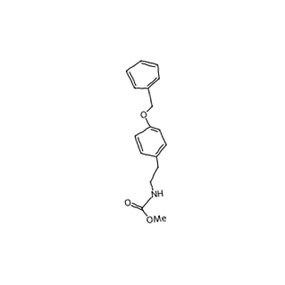 COC(=O)NCCc1ccc(OCc2ccccc2)cc1